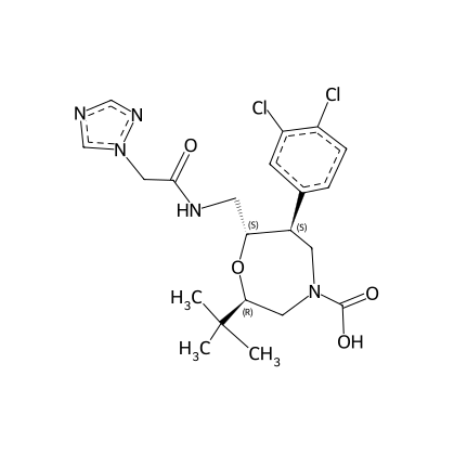 CC(C)(C)[C@@H]1CN(C(=O)O)C[C@H](c2ccc(Cl)c(Cl)c2)[C@@H](CNC(=O)Cn2cncn2)O1